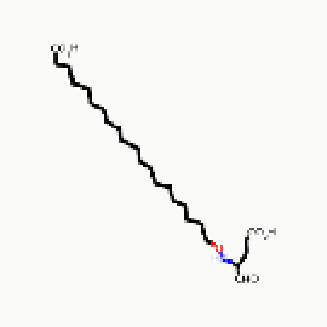 O=CC(CCC(=O)O)NOCCCCCCCCCCCCCCCCCCCC(=O)O